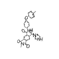 Cc1ccc(Oc2ccc(NC(=O)c3cc4c(cc3C(=O)[n+]3cc[nH]c3)C(=O)N(C)C4=O)cc2)cc1